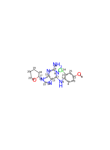 COc1ccc(Nc2nc(N)nc3c2ncn3C2CCCCO2)c(Cl)c1